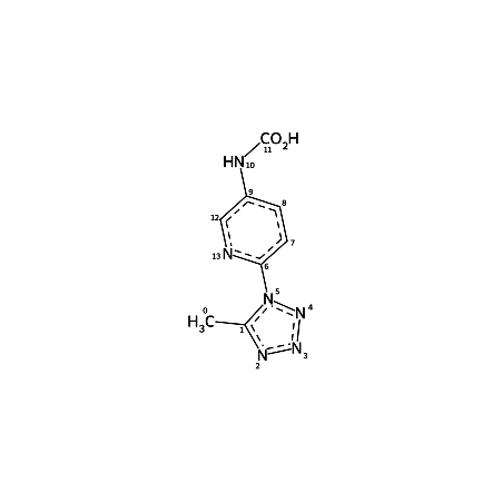 Cc1nnnn1-c1ccc(NC(=O)O)cn1